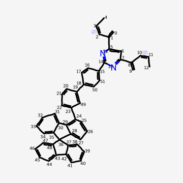 C=C(/C=C\C)c1cc(C(=C)/C=C\C)nc(-c2ccc(-c3cccc(-c4cccc5c4-c4ccccc4C54c5ccccc5-c5ccccc54)c3)cc2)n1